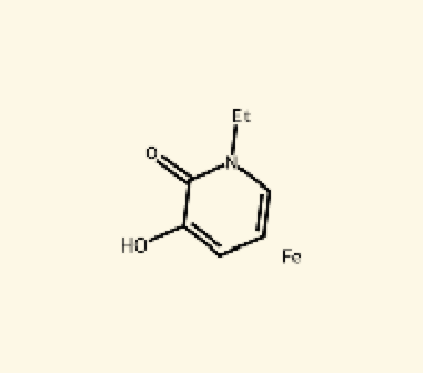 CCn1cccc(O)c1=O.[Fe]